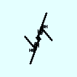 CCCCCCCCCCCCC(O)CN(CCCC(=O)SCCN1CC(C)N(CCSC(=O)CCCN(CC(O)CCCCCCCCCCCC)CC(O)CCCCCCCCCCCC)CC1C)CC(O)CCCCCCCCCCCC